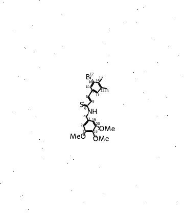 COc1cc(CNC(=S)/C=C/c2cc(C)c(C)c(Br)c2)cc(OC)c1OC